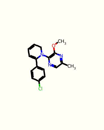 COc1nc(C)cnc1N1CC=CC=C1c1ccc(Cl)cc1